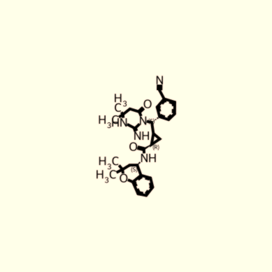 CC1(C)CC(=O)N([C@H](c2cccc(C#N)c2)C2C[C@H]2C(=O)N[C@H]2CC(C)(C)Oc3ccccc32)C(=N)N1